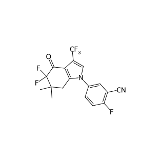 CC1(C)Cc2c(c(C(F)(F)F)cn2-c2ccc(F)c(C#N)c2)C(=O)C1(F)F